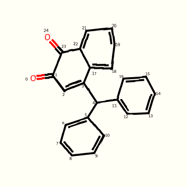 O=C1C=C(C(c2ccccc2)c2ccccc2)c2ccccc2C1=O